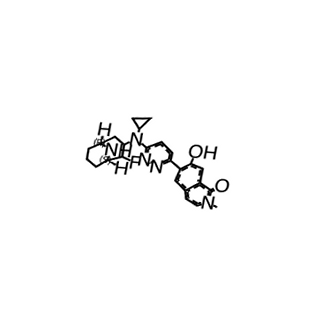 Cn1ccc2cc(-c3ccc(N(C4CC4)C4C[C@H]5CCC[C@H](N5)C4F)nn3)c(O)cc2c1=O